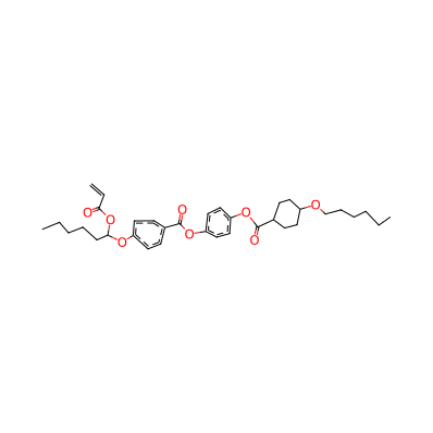 C=CC(=O)OC(CCCCC)Oc1ccc(C(=O)Oc2ccc(OC(=O)C3CCC(OCCCCCC)CC3)cc2)cc1